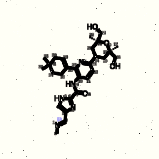 C/N=C/c1c[nH]c(C(=O)Nc2ccc(C3C[C@](C)(CO)O[C@](C)(CO)C3)nc2C2=CCC(C)(C)CC2)n1